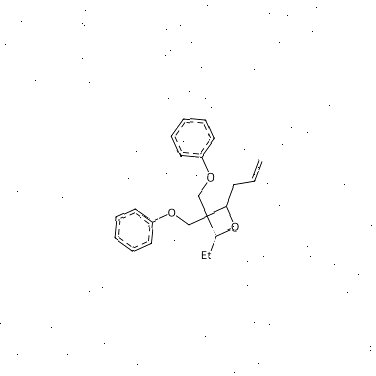 C=CCC1OC(CC)C1(COc1ccccc1)COc1ccccc1